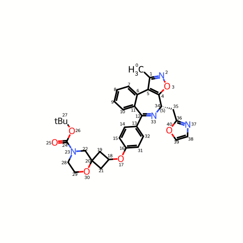 Cc1noc2c1-c1ccccc1C(c1ccc(OC3CC4(C3)CN(C(=O)OC(C)(C)C)CCO4)cc1)=N[C@H]2Cc1ncco1